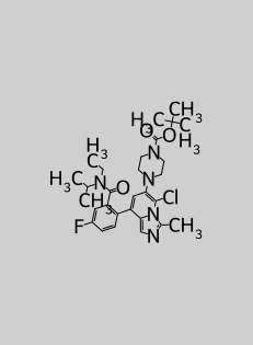 CCN(C(=O)c1cc(F)ccc1-c1cc(N2CCN(C(=O)OC(C)(C)C)CC2)c(Cl)n2c(C)ncc12)C(C)C